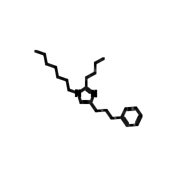 CCCCCCCn1cc(CCCc2ccccc2)nc1CCCC